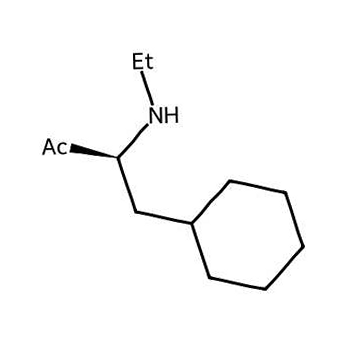 CCN[C@@H](CC1CCCCC1)C(C)=O